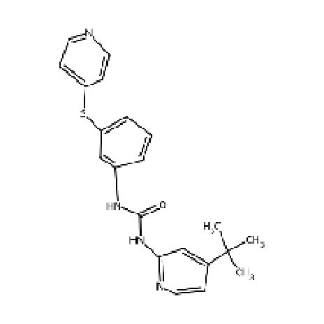 CC(C)(C)c1ccnc(NC(=O)Nc2cccc(Sc3ccncc3)c2)c1